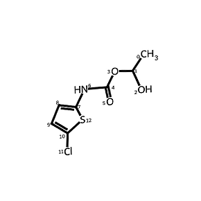 CC(O)OC(=O)Nc1ccc(Cl)s1